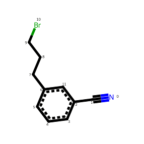 N#Cc1cccc(CCCBr)c1